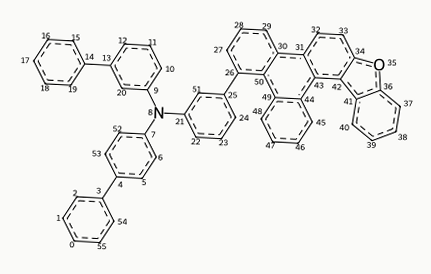 c1ccc(-c2ccc(N(c3cccc(-c4ccccc4)c3)c3cccc(-c4cccc5c6ccc7oc8ccccc8c7c6c6ccccc6c45)c3)cc2)cc1